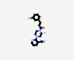 C[C@@H]1CN(c2ncccc2C#N)CCN1C(=O)C=Cc1cccc(Cl)c1